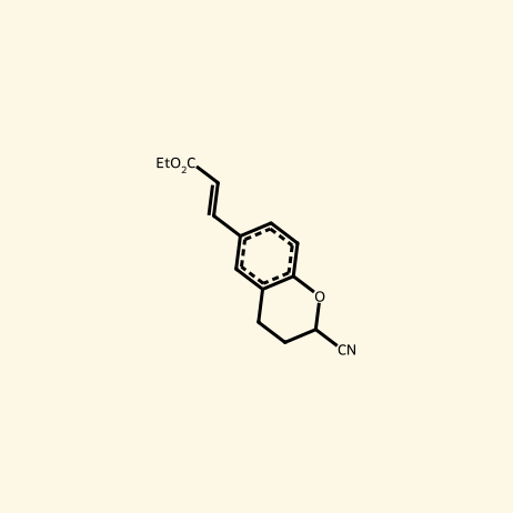 CCOC(=O)C=Cc1ccc2c(c1)CCC(C#N)O2